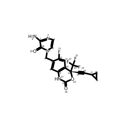 Nc1nccn(Cc2cc3c(cc2F)[C@](C#CC2CC2)(C(F)(F)F)OC(=O)N3)c1=O